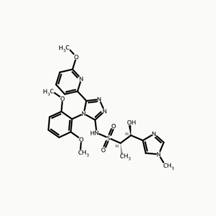 COc1cccc(-c2nnc(NS(=O)(=O)[C@@H](C)[C@@H](O)c3cn(C)cn3)n2-c2c(OC)cccc2OC)n1